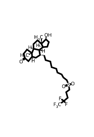 C[C@]12CCC(=O)C[C@@H]1C[C@@H](CCCCCCCCCS(=O)(=O)CCCC(F)(F)C(F)(F)F)[C@@H]1[C@@H]2CC[C@]2(C)[C@@H](O)CC[C@@H]12